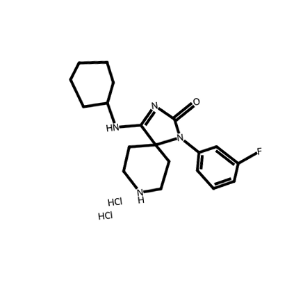 Cl.Cl.O=C1N=C(NC2CCCCC2)C2(CCNCC2)N1c1cccc(F)c1